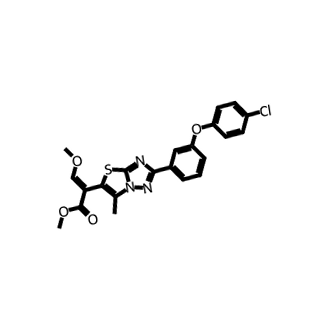 CO/C=C(/C(=O)OC)c1sc2nc(-c3cccc(Oc4ccc(Cl)cc4)c3)nn2c1C